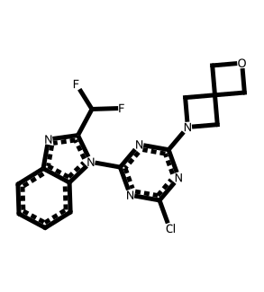 FC(F)c1nc2ccccc2n1-c1nc(Cl)nc(N2CC3(COC3)C2)n1